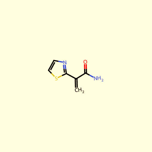 C=C(C(N)=O)c1nccs1